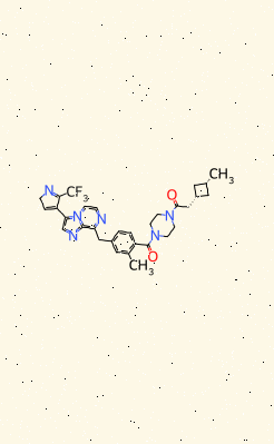 Cc1cc(Cc2nccn3c(C4=CCN=C4C(F)(F)F)cnc23)ccc1C(=O)N1CCN(C(=O)C[C@H]2C[C@@H](C)C2)CC1